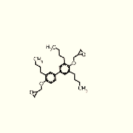 CCCCc1cc(-c2cc(CCCC)c(OCC3CO3)c(CCCC)c2)ccc1OCC1CO1